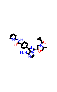 C[C@H]1CO[C@@H](c2nc(-c3ccc(C(=O)Nc4ccccn4)cc3)c3c(N)nccn23)CN1C(=O)C1CC1